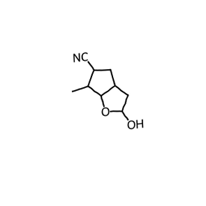 CC1C(C#N)CC2CC(O)OC21